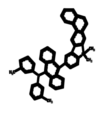 Cc1cccc(N(c2cccc(C)c2)c2c3ccccc3c(-c3ccc4c(c3)-c3cc5c(ccc6ccccc65)cc3[Si]4(C)C)c3ccccc23)c1